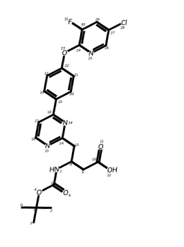 CC(C)(C)OC(=O)NC(CC(=O)O)Cc1nccc(-c2ccc(Oc3ncc(Cl)cc3F)cc2)n1